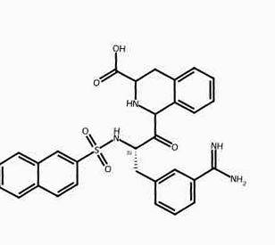 N=C(N)c1cccc(C[C@H](NS(=O)(=O)c2ccc3ccccc3c2)C(=O)C2NC(C(=O)O)Cc3ccccc32)c1